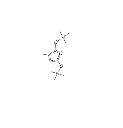 Cc1cc(O[Si](C)(C)C)oc1O[Si](C)(C)C